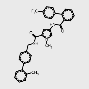 Cc1ccccc1-c1ccc(CNC(=O)c2cc(NC(=O)c3ccccc3-c3ccc(C(F)(F)F)cc3)cn2C)cc1